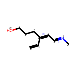 C=C/C(=C\C=N\C)CCCO